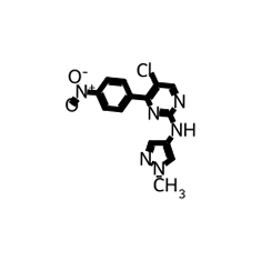 Cn1cc(Nc2ncc(Cl)c(-c3ccc([N+](=O)[O-])cc3)n2)cn1